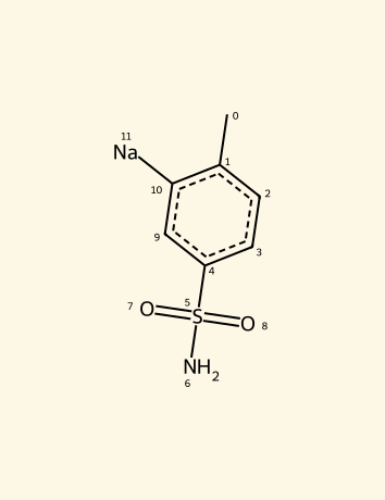 Cc1ccc(S(N)(=O)=O)c[c]1[Na]